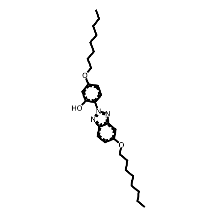 CCCCCCCCOc1ccc(-n2nc3ccc(OCCCCCCCC)cc3n2)c(O)c1